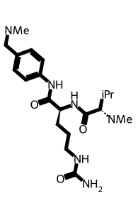 CNCc1ccc(NC(=O)[C@H](CCCNC(N)=O)NC(=O)[C@@H](NC)C(C)C)cc1